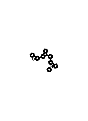 c1ccc(-n2c3ccccc3c3cc(-c4cccc(C5c6ccccc6-c6cc(-c7ccc8oc9ccccc9c8c7)ccc65)c4)ccc32)cc1